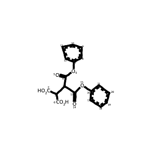 O=C(O)C(C(=O)O)C(C(=O)Oc1ccccc1)C(=O)Oc1ccccc1